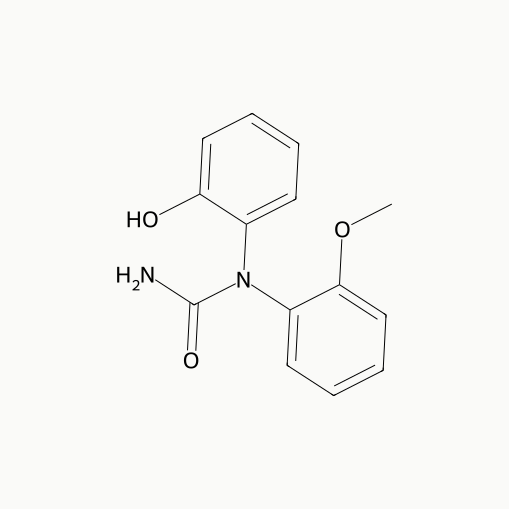 COc1ccccc1N(C(N)=O)c1ccccc1O